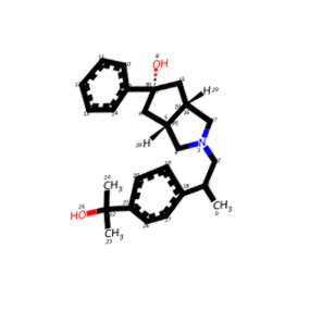 CC(CN1C[C@@H]2C[C@@](O)(c3ccccc3)C[C@@H]2C1)c1ccc(C(C)(C)O)cc1